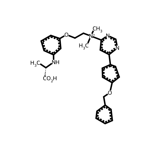 C[C@H](Nc1cccc(OCC[N+](C)(C)c2cc(-c3ccc(OCc4ccccc4)cc3)ncn2)c1)C(=O)O